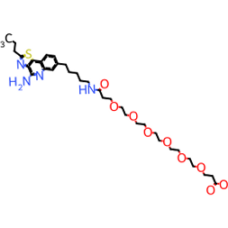 CCCc1nc2c(N)nc3cc(CCCCCNC(=O)CCOCCOCCOCCOCCOCCOCCC(=O)O)ccc3c2s1